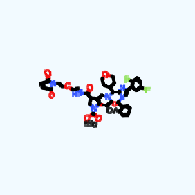 CC(=O)O[C@@H](C)C(=O)N(CC1CN(C(=O)OC(C)(C)C)CC1C(=O)NCCOCCN1C(=O)C=CC1=O)C(c1nc(-c2cc(F)ccc2F)cn1Cc1ccccc1)C1CCOCC1